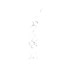 C=CCCOc1ccc(COC2CCC(c3ccc(C4CCC(C(O)CCC)CC4)c(F)c3F)CC2)c(F)c1